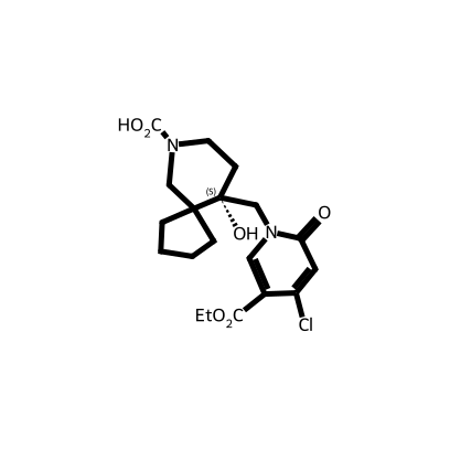 CCOC(=O)c1cn(C[C@]2(O)CCN(C(=O)O)CC23CCCC3)c(=O)cc1Cl